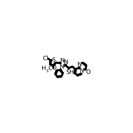 COc1ccccc1-n1c(-c2ccc(Cl)s2)nnc1C(S)Cc1cccn2c(=O)ccnc12